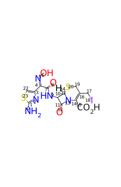 Nc1nc(/C(=N/O)C(=O)NC2C(=O)N3C(C(=O)O)=C(CI)CS[C@H]23)cs1